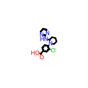 O=C(O)c1ccc(N2CCCCC2Nc2ncccn2)c(Cl)c1